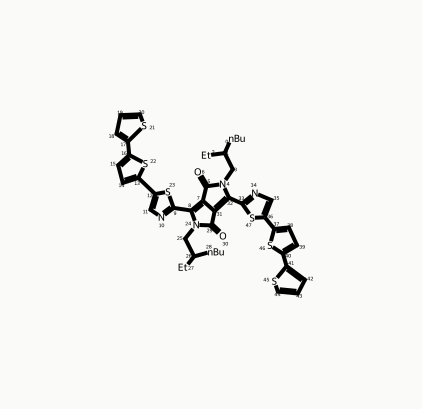 CCCCC(CC)CN1C(=O)C2=C(c3ncc(-c4ccc(-c5cccs5)s4)s3)N(CC(CC)CCCC)C(=O)C2=C1c1ncc(-c2ccc(-c3cccs3)s2)s1